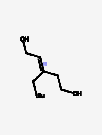 CC(C)(C)C/C(=C\CO)CCO